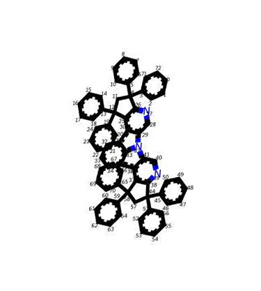 c1ccc(C2(c3ccccc3)CC(c3ccccc3)(c3ccccc3)c3c2ncc2c3c3cccc4c5c6c(ncc5n2c34)C(c2ccccc2)(c2ccccc2)CC6(c2ccccc2)c2ccccc2)cc1